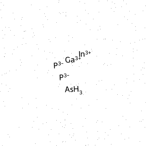 [AsH3].[Ga+3].[In+3].[P-3].[P-3]